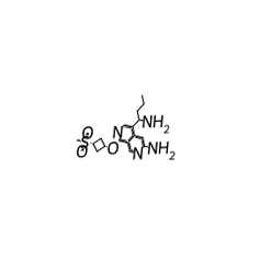 CCC[C@@H](N)c1cnc(O[C@H]2C[C@@H](S(C)(=O)=O)C2)c2cnc(N)cc12